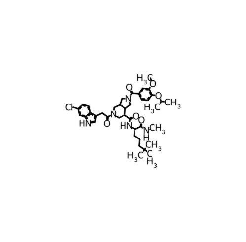 CNC(=O)[C@@H](CCCC(C)(C)C)NC(=O)C1CN(C(=O)Cc2c[nH]c3cc(Cl)ccc23)CC2CN(C(=O)c3ccc(OC(C)C)c(OC)c3)CC21